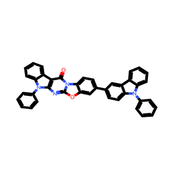 O=c1c2c3ccccc3n(-c3ccccc3)c2nc2oc3cc(-c4ccc5c(c4)c4ccccc4n5-c4ccccc4)ccc3n12